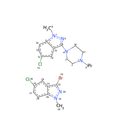 CC(C)N1CCN(c2nn(C)c3ccc(Cl)cc23)CC1.Cn1nc(Br)c2cc(Cl)ccc21